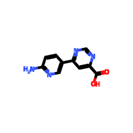 Nc1ccc(-c2cc(C(=O)O)ncn2)cn1